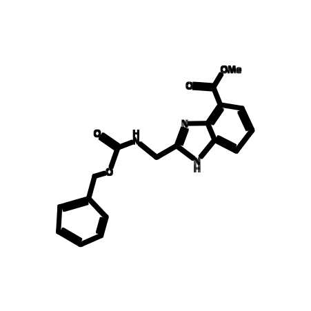 COC(=O)c1cccc2[nH]c(CNC(=O)OCc3ccccc3)nc12